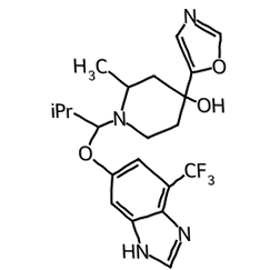 CC(C)C(Oc1cc(C(F)(F)F)c2nc[nH]c2c1)N1CCC(O)(c2cnco2)CC1C